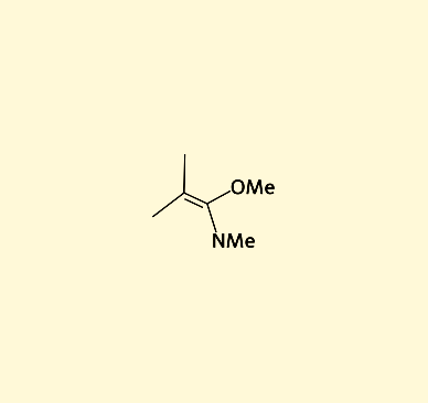 CNC(OC)=C(C)C